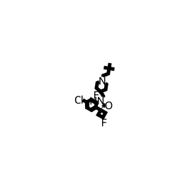 CC(C)(C)CCN1CCC(F)(CNC(=O)[C@]2(c3ccc(Cl)cc3)C[C@@H](F)C2)CC1